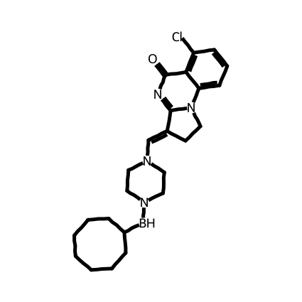 O=c1nc2n(c3cccc(Cl)c13)CC/C2=C\N1CCN(BC2CCCCCCC2)CC1